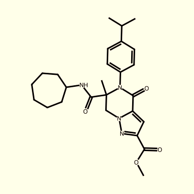 COC(=O)c1cc2n(n1)CC(C)(C(=O)NC1CCCCCC1)N(c1ccc(C(C)C)cc1)C2=O